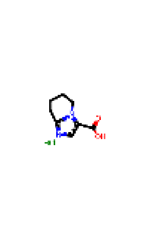 Cl.O=C(O)c1cnc2n1CCCC2